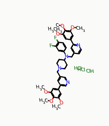 COc1cc(-c2cncc(CN3CCC(N(Cc4ccnc(-c5cc(OC)c(OC)c(OC)c5)c4)c4ccc(F)c(F)c4)CC3)c2)cc(OC)c1OC.Cl.Cl.Cl